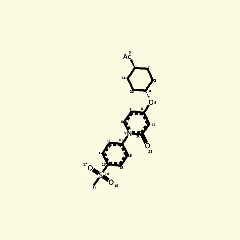 CC(=O)[C@H]1CC[C@H](Oc2ccn(-c3ccc(S(C)(=O)=O)cc3)c(=O)c2)CC1